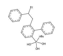 CCCCP(O)(O)(O)c1cccc(CC(CC)c2ccccc2)c1-c1ccccc1